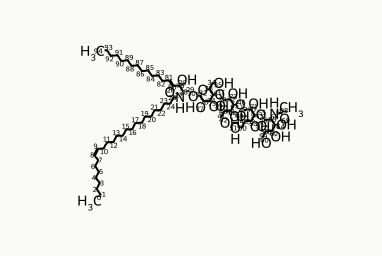 CCCCCCCC/C=C\CCCCCCCCCCCCCCCC(=O)N[C@@H](CO[C@@H]1OC(CO)[C@@H](O[C@@H]2OC(CO)[C@H](O)[C@H](O[C@H]3OC(CO)[C@H](O)[C@H](O[C@@H]4OC(CO)[C@@H](O)[C@H](O)C4NC(C)=O)C3O)C2O)[C@H](O)C1O)[C@H](O)/C=C/CCCCCCCCCCCCC